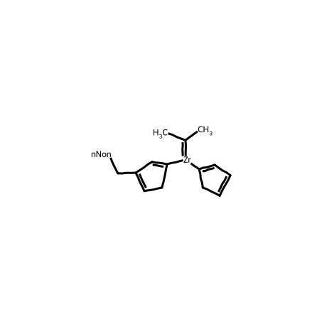 CCCCCCCCCCC1=CC[C]([Zr]([C]2=CC=CC2)=[C](C)C)=C1